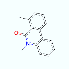 Cc1cccc2c1c(=O)n(C)c1ccccc21